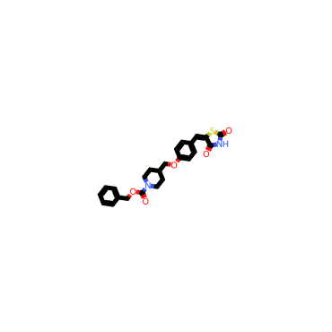 O=C1NC(=O)/C(=C\c2ccc(OCC3CCN(C(=O)OCc4ccccc4)CC3)cc2)S1